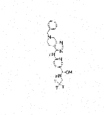 OC(NCC(F)(F)F)c1ccc(Nc2ncnc3c2CCN(Cc2ccccc2)C3)nc1